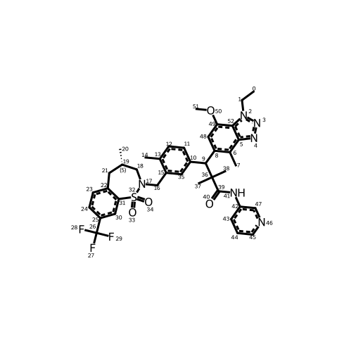 CCn1nnc2c(C)c(C(c3ccc(C)c(CN4C[C@@H](C)Cc5ccc(C(F)(F)F)cc5S4(=O)=O)c3)C(C)(C)C(=O)Nc3cccnc3)cc(OC)c21